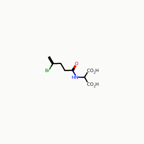 C=C(Br)CCC(=O)NC(C(=O)O)C(=O)O